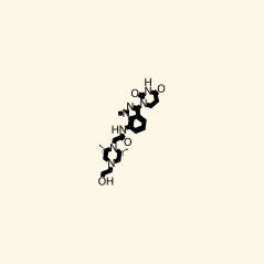 C[C@@H]1CN(CCO)C[C@H](C)N1CC(=O)Nc1cccc2c(N3CCC(=O)NC3=O)nn(C)c12